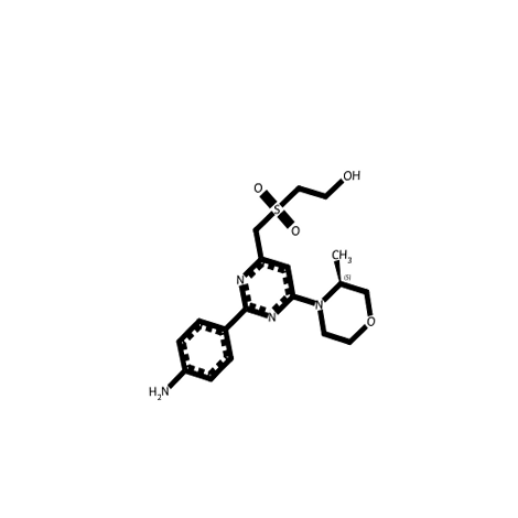 C[C@H]1COCCN1c1cc(CS(=O)(=O)CCO)nc(-c2ccc(N)cc2)n1